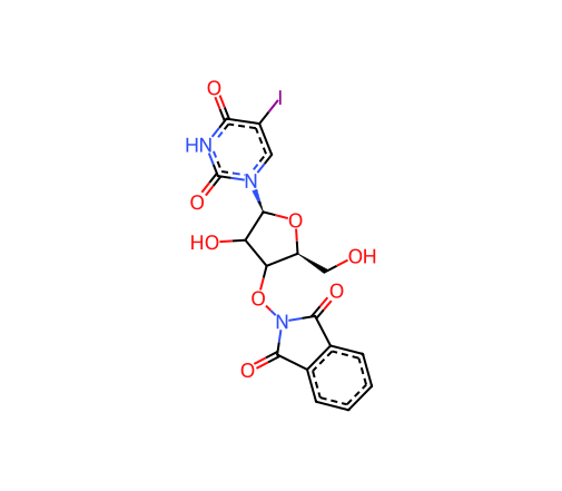 O=C1c2ccccc2C(=O)N1OC1C(O)[C@@H](n2cc(I)c(=O)[nH]c2=O)O[C@H]1CO